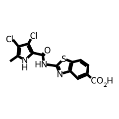 Cc1[nH]c(C(=O)Nc2nc3cc(C(=O)O)ccc3s2)c(Cl)c1Cl